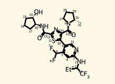 CCC(Nc1cc(C(F)F)c(-c2sc(C(=O)N[C@H]3CCC[C@@H]3O)nc2C(=O)N2CCC[C@@H]2C)cn1)C(F)(F)F